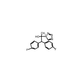 CC(O)(C(c1ccc(F)cc1)c1ccc(F)cc1)n1cnnn1